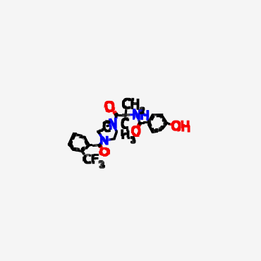 CC(C)(NC(=O)c1ccc(O)cc1)C(=O)N1CCN(C(=O)c2ccccc2C(F)(F)F)CC1